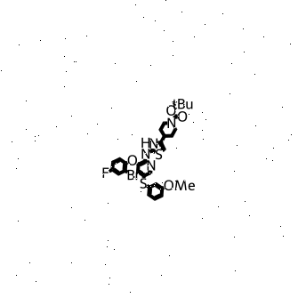 COc1cccc(Sc2cnc(Nc3nc(C4CCN(C(=O)OC(C)(C)C)CC4)cs3)c(Oc3ccc(F)cc3Br)c2)c1